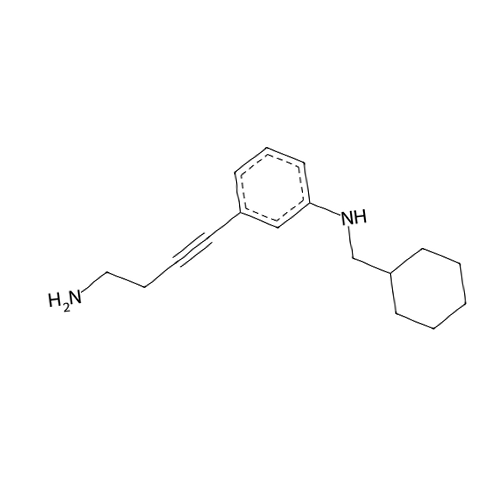 NCCC#Cc1cccc(NCC2CCCCC2)c1